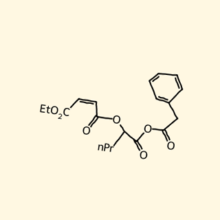 CCCC(OC(=O)/C=C\C(=O)OCC)C(=O)OC(=O)Cc1ccccc1